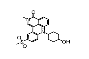 Cn1cc(-c2cc(S(C)(=O)=O)ccc2NC2CCC(O)CC2)c2ccccc2c1=O